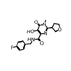 Cn1c(C2CCOC2)nc(C(=O)NCc2ccc(F)cc2)c(O)c1=O